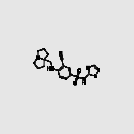 N#Cc1cc(S(=O)(=O)Nc2ncns2)ccc1NCC12CCCN1CCC2